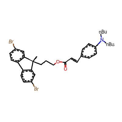 CCCCN(CCCC)c1ccc(/C=C/C(=O)OCCCC2(C)c3cc(Br)ccc3-c3ccc(Br)cc32)cc1